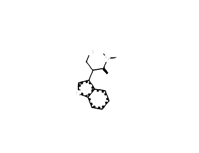 CCC(C(=O)N(C)C)c1c[nH]c2ccccc12